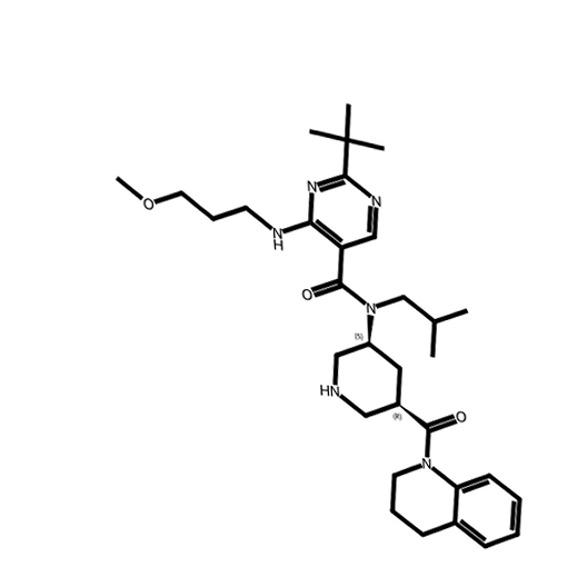 COCCCNc1nc(C(C)(C)C)ncc1C(=O)N(CC(C)C)[C@@H]1CNC[C@H](C(=O)N2CCCc3ccccc32)C1